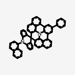 c1ccc(-c2cc3c4c(c2)-c2cccc5ccc6c(c25)N4c2c(ccc4cccc-3c24)C62c3ccccc3N(c3cccc4ccccc34)c3ccccc32)cc1